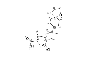 Cc1c(C(=O)O)cc(Cl)c2c1OC(C)(C1CCC3(CC1)OCCO3)C2